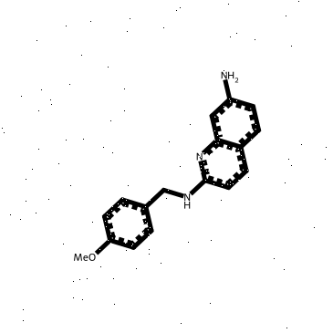 COc1ccc(CNc2ccc3ccc(N)cc3n2)cc1